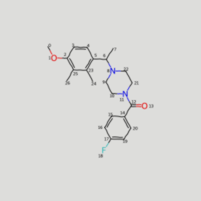 COc1ccc(C(C)N2CCN(C(=O)c3ccc(F)cc3)CC2)c(C)c1C